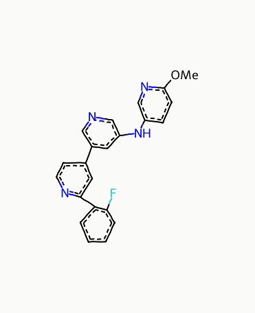 COc1ccc(Nc2cncc(-c3ccnc(-c4ccccc4F)c3)c2)cn1